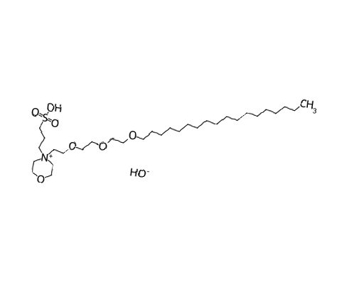 CCCCCCCCCCCCCCCCCCOCCOCCOCC[N+]1(CCCS(=O)(=O)O)CCOCC1.[OH-]